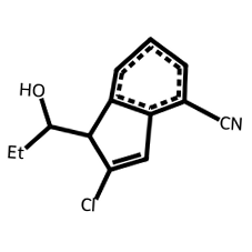 CCC(O)C1C(Cl)=Cc2c(C#N)cccc21